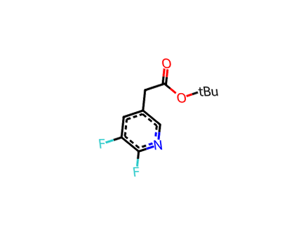 CC(C)(C)OC(=O)Cc1cnc(F)c(F)c1